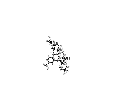 CN(C)c1ccc2c(c1)C[C@]13CCC4(C[C@]1(O)CC[C@@H]1C3C2C[C@]2(C)C(O[Si](C)(C)C)=CC[C@@H]12)OCC(C)(C)CO4